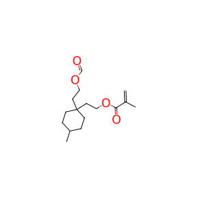 C=C(C)C(=O)OCCC1(CCOC=O)CCC(C)CC1